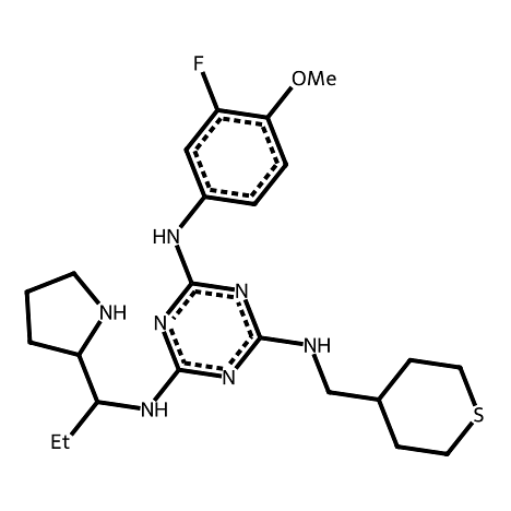 CCC(Nc1nc(NCC2CCSCC2)nc(Nc2ccc(OC)c(F)c2)n1)C1CCCN1